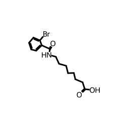 O=C(O)CCCCCCCNC(=O)c1ccccc1Br